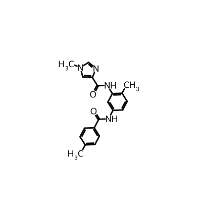 Cc1ccc(C(=O)Nc2ccc(C)c(NC(=O)c3cn(C)cn3)c2)cc1